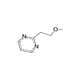 COCCc1n[c]ccn1